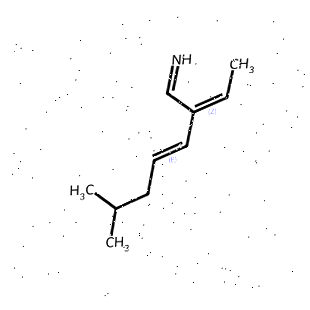 C/C=C(C=N)/C=C/CC(C)C